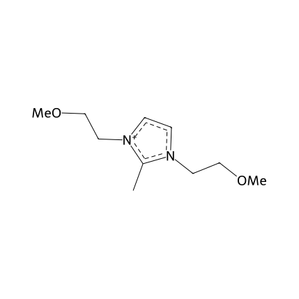 COCCn1cc[n+](CCOC)c1C